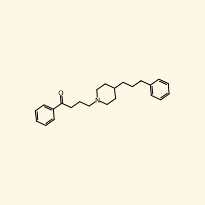 O=C(CCCN1CCC(CCCc2ccccc2)CC1)c1ccccc1